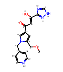 COCc1cc(C(=O)C=C(O)c2nc[nH]n2)cn1Cc1ccncc1